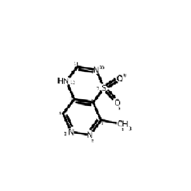 Cc1nncc2c1S(=O)(=O)N=CN2